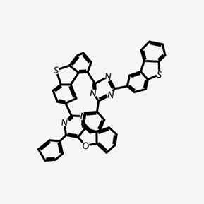 c1ccc(-c2nc(-c3ccc4sc5ccccc5c4c3)nc(-c3cccc4sc5ccc(-c6nc(-c7ccccc7)c7oc8ccccc8c7n6)cc5c34)n2)cc1